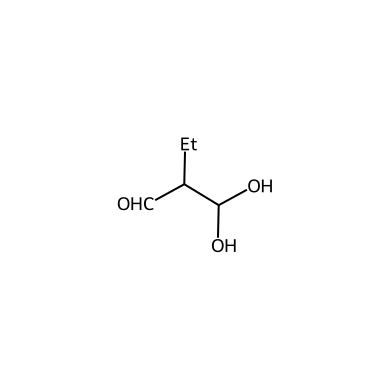 CCC(C=O)C(O)O